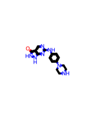 O=c1[nH][nH]c2nc(Nc3ccc(N4CCNCC4)cc3)ncc12